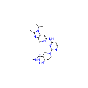 CN/C=C1/CN(c2nccc(Nc3cc4c(cn3)nc(C)n4C(C)C)n2)CCC1=N